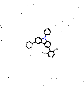 N#Cc1cccc(C#N)c1-c1ccc2c(c1)c1cc(C3CCCCC3)ccc1n2-c1ccccc1